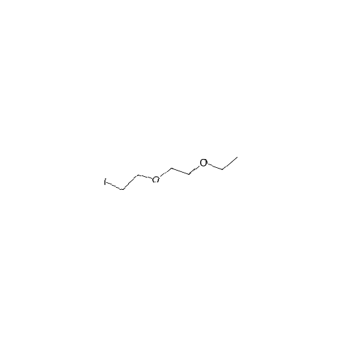 CCOCCOCCI